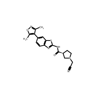 Cc1noc(C)c1-c1ccc2nc(NC(=O)[C@H]3CCN(CC#N)C3)sc2c1